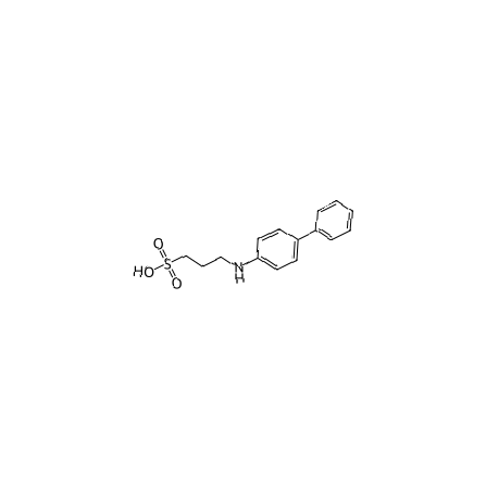 O=S(=O)(O)CCCNc1ccc(-c2ccccc2)cc1